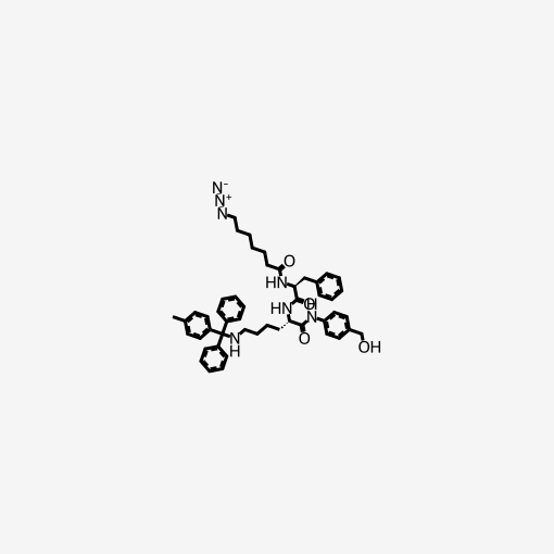 Cc1ccc(C(NCCCC[C@H](NC(=O)[C@H](Cc2ccccc2)NC(=O)CCCCCCN=[N+]=[N-])C(=O)Nc2ccc(CO)cc2)(c2ccccc2)c2ccccc2)cc1